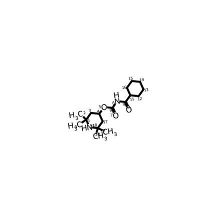 CC1(C)CC(OC(=O)NC(=O)C2CCCCC2)CC(C)(C)N1